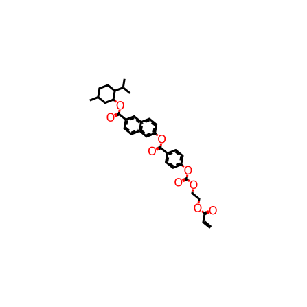 C=CC(=O)OCCOC(=O)Oc1ccc(C(=O)Oc2ccc3cc(C(=O)OC4CC(C)CCC4C(C)C)ccc3c2)cc1